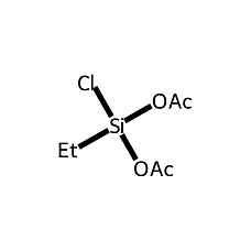 CC[Si](Cl)(OC(C)=O)OC(C)=O